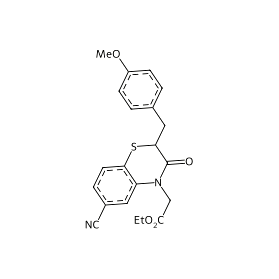 CCOC(=O)CN1C(=O)C(Cc2ccc(OC)cc2)Sc2ccc(C#N)cc21